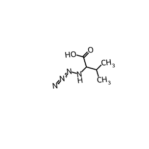 CC(C)C(NN=[N+]=[N-])C(=O)O